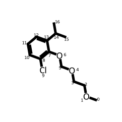 COCCOCOc1c(Cl)cccc1C(C)C